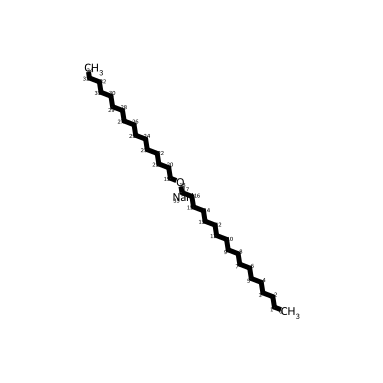 CCCCCCCCCCCCCCCCCCOCCCCCCCCCCCCCCCC.[NaH]